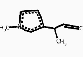 C=CC(C)c1ccn(C)c1